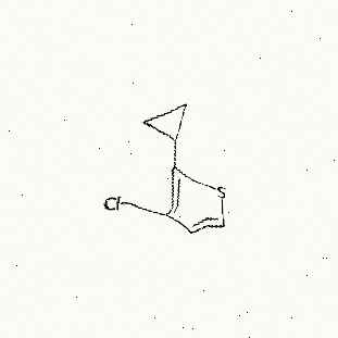 Clc1ccsc1C1CC1